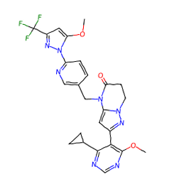 COc1ncnc(C2CC2)c1-c1cc2n(n1)CCC(=O)N2Cc1ccc(-n2nc(C(F)(F)F)cc2OC)nc1